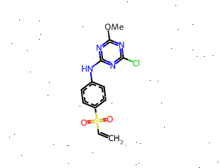 C=CS(=O)(=O)c1ccc(Nc2nc(Cl)nc(OC)n2)cc1